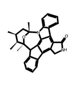 C[C@H]1C[C@@]2(C)O[C@@](C)(C3c4ccccc4-c4c5c(c6c7ccccc7n2c6c43)C(=O)NC5)[C@H]1C